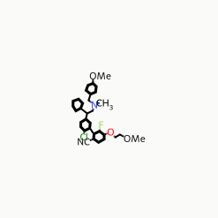 COCCOc1ccc(C#N)c(-c2cc(C(CN(C)Cc3ccc(OC)cc3)c3ccccc3)ccc2Cl)c1F